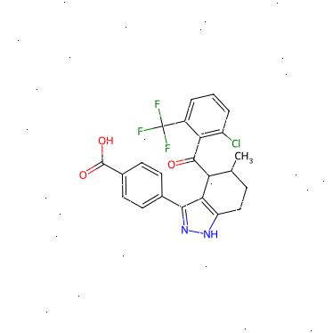 CC1CCc2[nH]nc(-c3ccc(C(=O)O)cc3)c2C1C(=O)c1c(Cl)cccc1C(F)(F)F